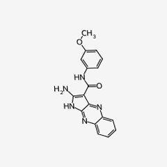 COc1cccc(NC(=O)c2c(N)[nH]c3nc4ccccc4nc23)c1